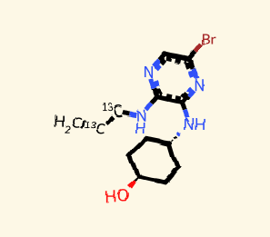 C=[13CH][13CH2]Nc1ncc(Br)nc1N[C@H]1CC[C@H](O)CC1